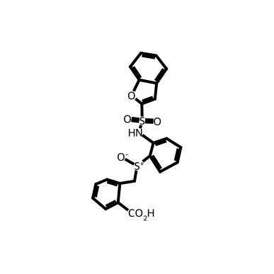 O=C(O)c1ccccc1C[S+]([O-])c1ccccc1NS(=O)(=O)c1cc2ccccc2o1